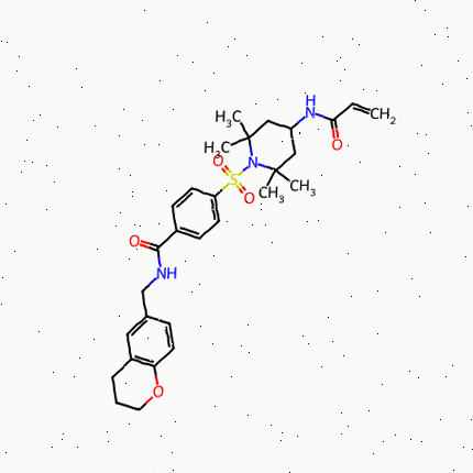 C=CC(=O)NC1CC(C)(C)N(S(=O)(=O)c2ccc(C(=O)NCc3ccc4c(c3)CCCO4)cc2)C(C)(C)C1